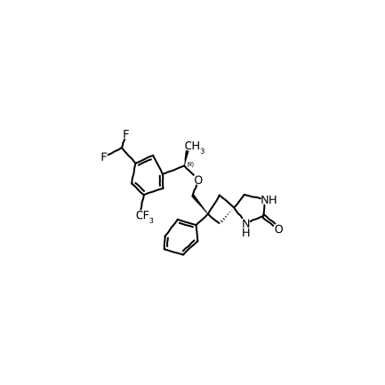 C[C@@H](OC[C@]1(c2ccccc2)C[C@@]2(CNC(=O)N2)C1)c1cc(C(F)F)cc(C(F)(F)F)c1